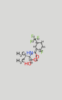 CC(C)[C@@H](NC(=O)c1cc(C(F)(F)F)ccc1F)C(=O)O